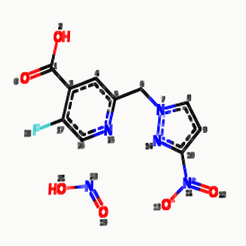 O=C(O)c1cc(Cn2ccc([N+](=O)[O-])n2)ncc1F.O=NO